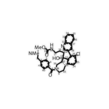 CNCc1ccc(C(=O)N2CCC[C@@H]([C@@](O)(CCCNC(=O)OC)c3cccc(Cl)c3-c3cnc4ccccc4c3)C2)cc1